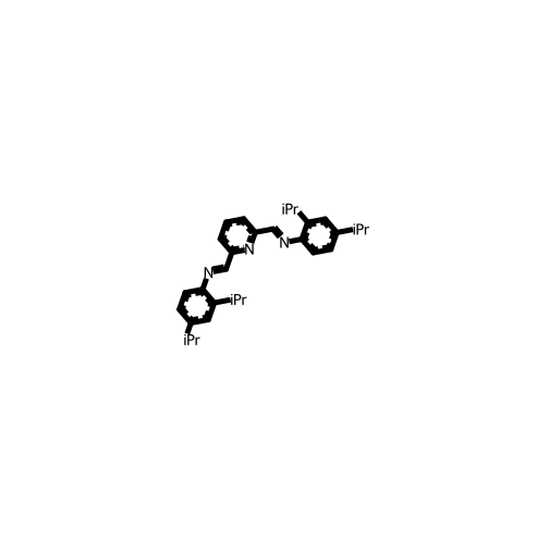 CC(C)c1ccc(N=Cc2cccc(C=Nc3ccc(C(C)C)cc3C(C)C)n2)c(C(C)C)c1